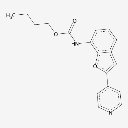 CCCCOC(=O)Nc1cccc2cc(-c3ccncc3)oc12